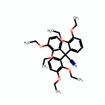 CCOc1cccc(C(C#N)(c2cccc(OCC)c2OCC)c2cccc(OCC)c2OCC)c1OCC